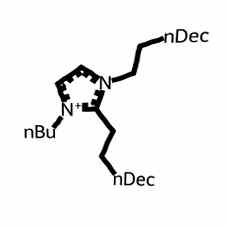 CCCCCCCCCCCCc1n(CCCCCCCCCCCC)cc[n+]1CCCC